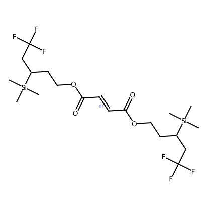 C[Si](C)(C)C(CCOC(=O)/C=C/C(=O)OCCC(CC(F)(F)F)[Si](C)(C)C)CC(F)(F)F